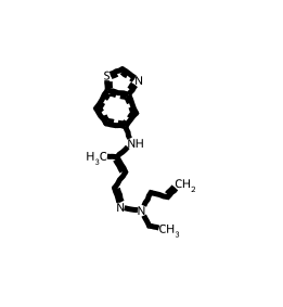 C=CCN(CC)/N=C\C=C(/C)Nc1ccc2scnc2c1